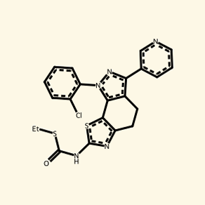 CCSC(=O)Nc1nc2c(s1)-c1c(c(-c3cccnc3)nn1-c1ccccc1Cl)CC2